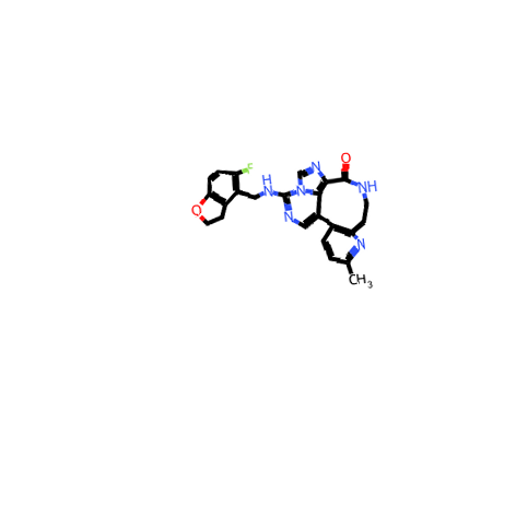 Cc1ccc2c(n1)CCNC(=O)c1ncn3c(NCc4c(F)ccc5c4CCO5)ncc-2c13